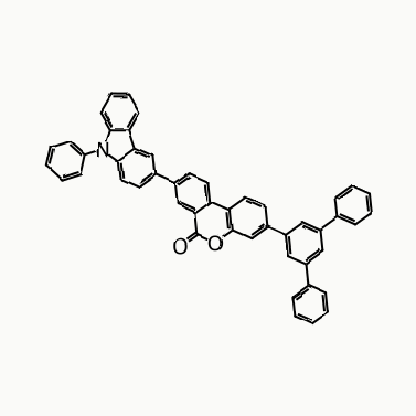 O=c1oc2cc(-c3cc(-c4ccccc4)cc(-c4ccccc4)c3)ccc2c2ccc(-c3ccc4c(c3)c3ccccc3n4-c3ccccc3)cc12